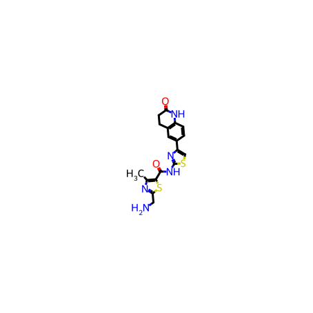 Cc1nc(CN)sc1C(=O)Nc1nc(-c2ccc3c(c2)CCC(=O)N3)cs1